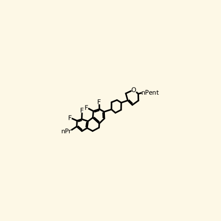 CCCCCC1CC=C(C2CCC(c3cc4c(c(F)c3F)-c3c(cc(CCC)c(F)c3F)CC4)CC2)CO1